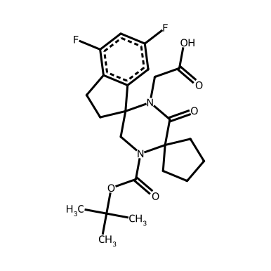 CC(C)(C)OC(=O)N1CC2(CCc3c(F)cc(F)cc32)N(CC(=O)O)C(=O)C12CCCC2